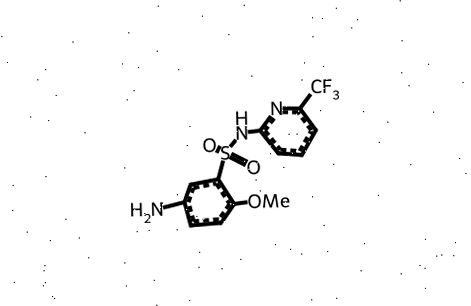 COc1ccc(N)cc1S(=O)(=O)Nc1cccc(C(F)(F)F)n1